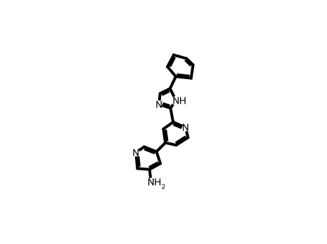 Nc1cncc(-c2ccnc(-c3ncc(-c4ccccc4)[nH]3)c2)c1